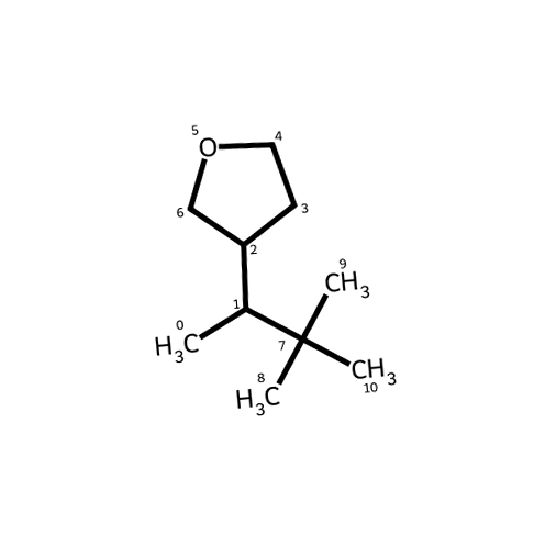 CC(C1CCOC1)C(C)(C)C